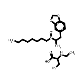 CCCCCCCC[S+]([O-])C(C)Cc1ccc2c(c1)OCO2.CCNC(CS)C(=O)O